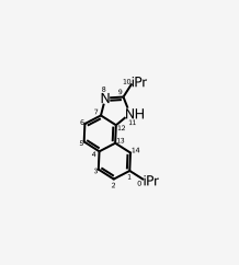 CC(C)c1ccc2ccc3nc(C(C)C)[nH]c3c2c1